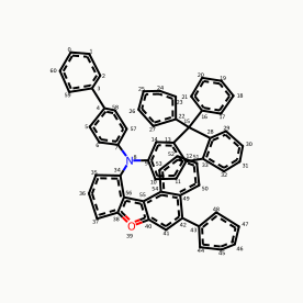 c1ccc(-c2ccc(N(c3ccc4c(c3)C(c3ccccc3)(c3ccccc3)c3ccccc3-4)c3cccc4oc5cc(-c6ccccc6)c6ccccc6c5c34)cc2)cc1